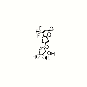 O=c1cc(C(F)(F)F)c2ccc(O[C@H]3SC[C@@H](O)[C@H](O)[C@H]3O)cc2o1